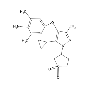 Cc1cc(Oc2c(C)nn(C3CCS(=O)(=O)C3)c2C2CC2)cc(C)c1N